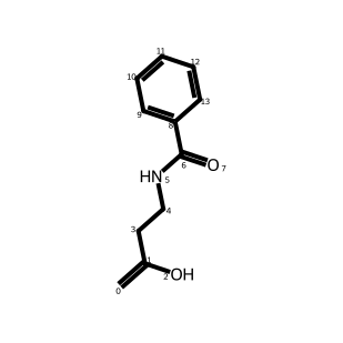 C=C(O)CCNC(=O)c1ccccc1